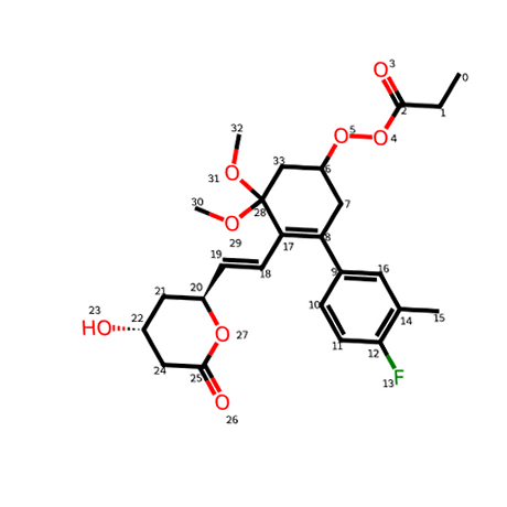 CCC(=O)OOC1CC(c2ccc(F)c(C)c2)=C(/C=C/[C@@H]2C[C@@H](O)CC(=O)O2)C(OC)(OC)C1